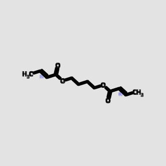 C/C=C/C(=O)OCCCCOC(=O)/C=C/C